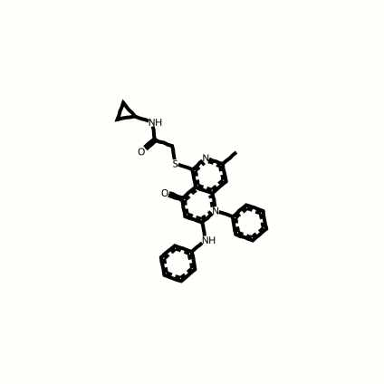 Cc1cc2c(c(SCC(=O)NC3CC3)n1)c(=O)cc(Nc1ccccc1)n2-c1ccccc1